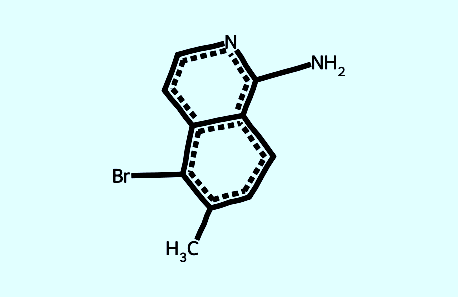 Cc1ccc2c(N)nccc2c1Br